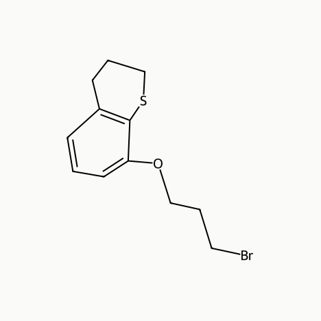 BrCCCOc1cccc2c1SCCC2